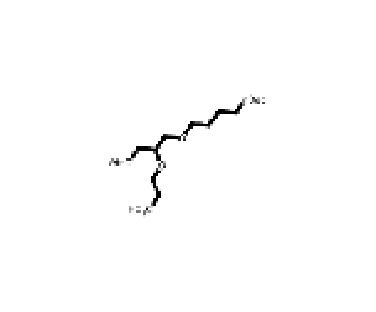 CCCCCCCCCCCCCCOCC(COC)OCCC(=O)O